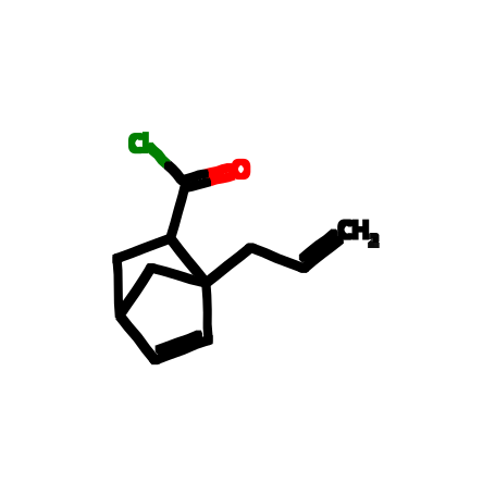 C=CCC12C=CC(CC1C(=O)Cl)C2